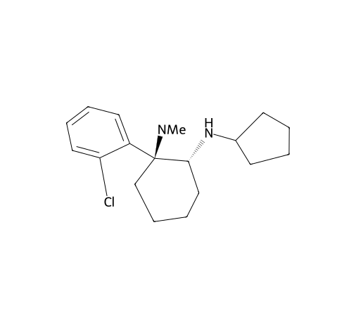 CN[C@]1(c2ccccc2Cl)CCCC[C@H]1NC1CCCC1